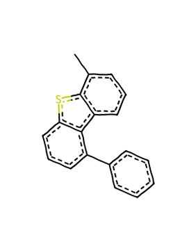 Cc1cccc2c1sc1cccc(-c3ccccc3)c12